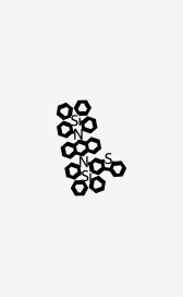 c1ccc([Si]2(c3ccccc3)c3ccccc3N(c3c4ccccc4c(N4c5ccccc5[Si](c5ccccc5)(c5ccccc5)c5cc6c(cc54)sc4ccccc46)c4ccccc34)c3ccccc32)cc1